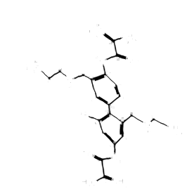 C=C(C)C(=O)Oc1cc(F)c(-c2ccc(OC(=O)C(=C)C)c(COCCC)c2)c(COCC)c1